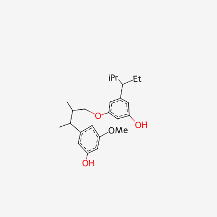 CCC(c1cc(O)cc(OCC(C)C(C)c2cc(O)cc(OC)c2)c1)C(C)C